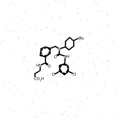 CC(C)(C)C1CCC(N(Cc2cccc(C(=O)NCCC(=O)O)c2)C(=O)Nc2cc(Cl)cc(Cl)c2)CC1